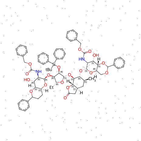 CC[C@H]1O[C@@H](O[C@@H]2[C@H]3OC(=O)C[C@@H]3C[C@H](C)[C@H]2O[C@H]2O[C@@H]3COC(c4ccccc4)O[C@H]3[C@@H](O)C2NC(=O)OCc2ccccc2)[C@H](O[Si](c2ccccc2)(c2ccccc2)C(C)(C)C)[C@@H]1O[C@H]1O[C@H]2CCC(c3ccccc3)O[C@H]2[C@H](O)[C@H]1NC(=O)OCc1ccccc1